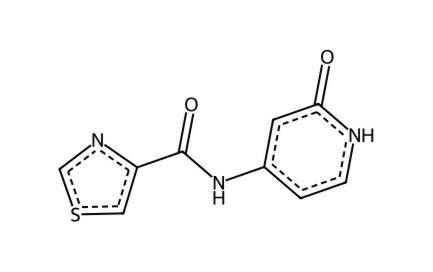 O=C(Nc1cc[nH]c(=O)c1)c1cscn1